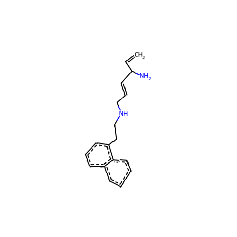 C=CC(N)C=CCNCCc1cccc2ccccc12